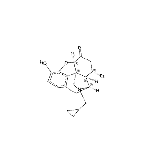 CC[C@H]1CC(=O)[C@@H]2Oc3c(O)ccc4c3[C@@]23CCN(CC2CC2)[C@H](C4)[C@H]13